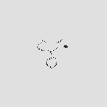 Br.O=CCP(c1ccccc1)c1ccccc1